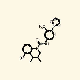 CC1CN(C(=O)Nc2cnc(-n3nccn3)c(C(F)(F)F)c2)c2cccc(Br)c2C1C